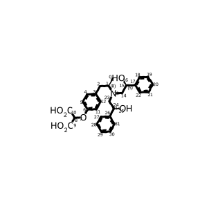 C[C@H](Cc1ccc(OC(C(=O)O)C(=O)O)cc1)N(C[C@@H](O)c1ccccc1)C[C@@H](O)c1ccccc1